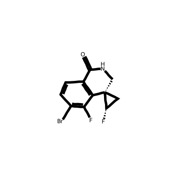 O=C1NC[C@@]2(C[C@@H]2F)c2c1ccc(Br)c2F